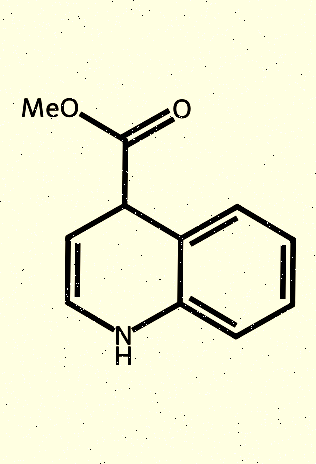 COC(=O)C1C=CNc2ccccc21